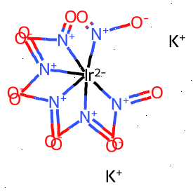 O=[N+]([O-])[Ir-2]([N+](=O)[O-])([N+](=O)[O-])([N+](=O)[O-])([N+](=O)[O-])[N+](=O)[O-].[K+].[K+]